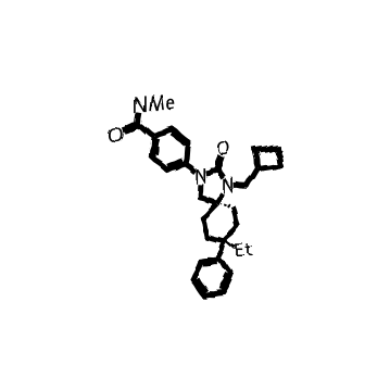 CC[C@]1(c2ccccc2)CC[C@]2(CC1)CN(c1ccc(C(=O)NC)cc1)C(=O)N2CC1CCC1